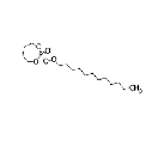 CCCCCCCCCCCCOOP1(=O)OCCCCO1